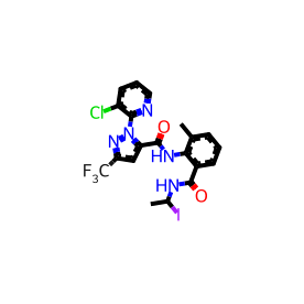 Cc1cccc(C(=O)NC(C)I)c1NC(=O)c1cc(C(F)(F)F)nn1-c1ncccc1Cl